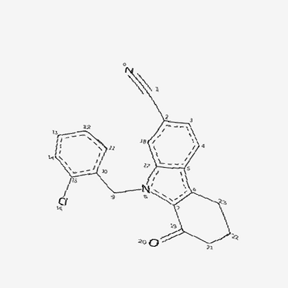 N#Cc1ccc2c3c(n(Cc4ccccc4Cl)c2c1)C(=O)CCC3